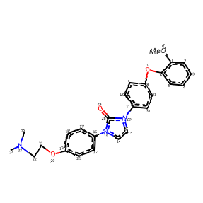 COc1ccccc1Oc1ccc(-n2ccn(-c3ccc(OCCN(C)C)cc3)c2=O)cc1